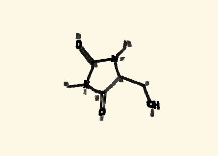 CN1C(=O)C(CO)N(C)C1=O